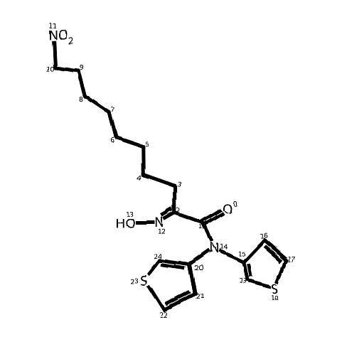 O=C(C(CCCCCCCC[N+](=O)[O-])=NO)N(c1ccsc1)c1ccsc1